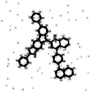 C1=CC2=C(c3ccc(-c4cccc5ccccc45)cc3)N=C(n3c4ccc(-c5ccccc5)cc4c4cc5sc(-c6ccccc6)nc5cc43)NC2C=C1